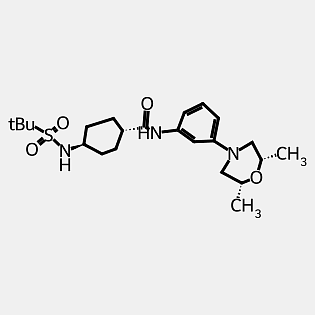 C[C@@H]1CN(c2cccc(NC(=O)[C@H]3CC[C@H](NS(=O)(=O)C(C)(C)C)CC3)c2)C[C@H](C)O1